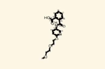 COCCOCCOc1ccc(NC(=O)c2ccccc2C(=O)O)cn1